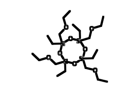 CCOC[Si]1(CC)O[Si](CC)(COCC)O[Si](CC)(COCC)O[Si](CC)(COCC)O1